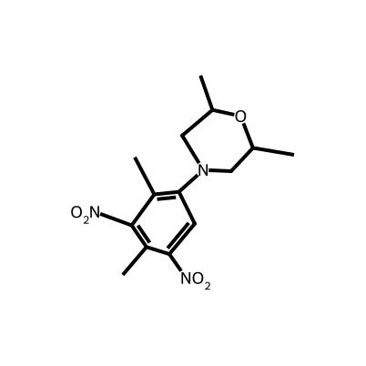 Cc1c(N2CC(C)OC(C)C2)cc([N+](=O)[O-])c(C)c1[N+](=O)[O-]